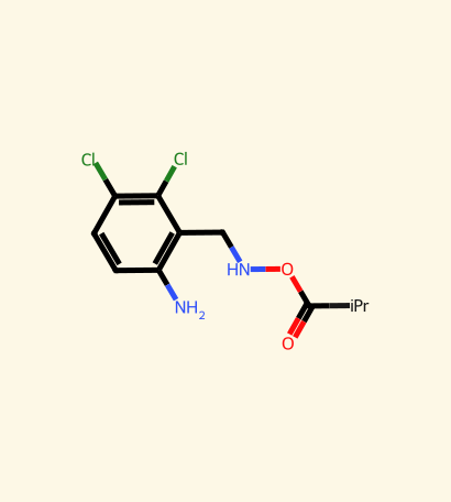 CC(C)C(=O)ONCc1c(N)ccc(Cl)c1Cl